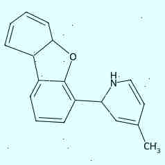 CC1=CC(c2cccc3c2OC2C=CC=CC32)NC=C1